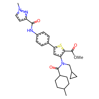 COC(=O)c1sc(-c2ccc(NC(=O)c3ccn(C)n3)cc2)cc1N(CC1CC1)C(=O)C1CCC(C)CC1